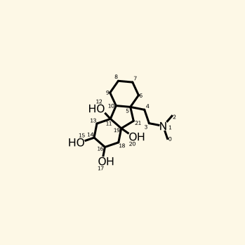 CN(C)CCC12CCCCC1C1(O)CC(O)C(O)CC1(O)C2